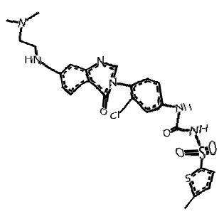 Cc1ccc(S(=O)(=O)NC(=O)Nc2ccc(-n3cnc4cc(NCCN(C)C)ccc4c3=O)c(Cl)c2)s1